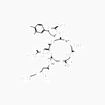 Cc1ccc(C2CC([C@@H]3NC(=O)/C(=C/NC(N)=O)NC(=O)[C@H](CNC(=O)C[C@@H](N)CCCN)NC(=O)[C@H](CO)NC(=O)[C@@H](N)CNC3=O)NC(=N)N2)cc1C